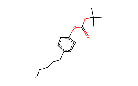 [CH2]CCC[CH]c1ccc(OC(=O)OC(C)(C)C)cc1